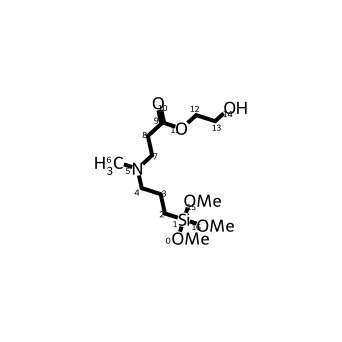 CO[Si](CCCN(C)CCC(=O)OCCO)(OC)OC